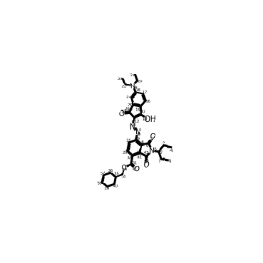 CCC(CC)N1C(=O)c2c(N=NC3=C(O)c4ccc(N(CC)CC)cc4C3=O)ccc(C(=O)OCC3CC=CCC3)c2C1=O